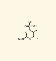 COC(=O)O[C@@H](C)[C@H](C)OP(=O)(O)O